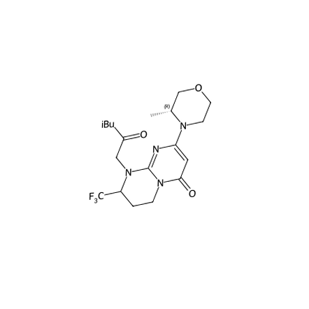 CCC(C)C(=O)CN1c2nc(N3CCOC[C@H]3C)cc(=O)n2CCC1C(F)(F)F